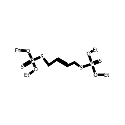 CCOP(=S)(OCC)SC/C=C/CSP(=S)(OCC)OCC